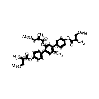 C=C(COC)C(=O)Oc1ccc(-c2cc(OC(=O)C(=C)COC)c(-c3ccc(OC(=O)C(=C)COC)cc3)cc2C)cc1